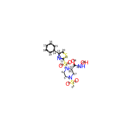 CS(=O)(=O)N1CCN(S(=O)(=O)c2nc(-c3ccccc3)cs2)[C@@H](C(=O)NO)C1